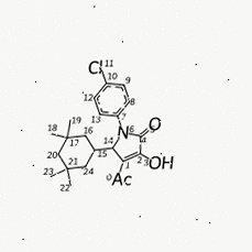 CC(=O)C1=C(O)C(=O)N(c2ccc(Cl)cc2)C1C1CC(C)(C)CC(C)(C)C1